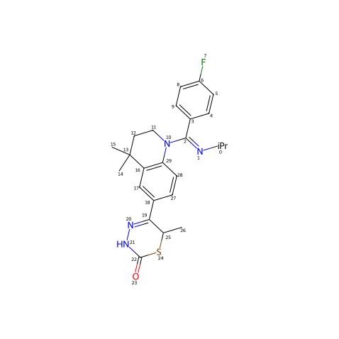 CC(C)N=C(c1ccc(F)cc1)N1CCC(C)(C)c2cc(C3=NNC(=O)SC3C)ccc21